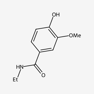 CCNC(=O)c1ccc(O)c(OC)c1